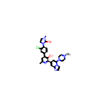 Cc1cc(-c2ccc(N3C=CN(C)C3O)c(Cl)c2)c(O)c(-c2cc(N3CCN(C(C)(C)C)CC3)n3ccnc3c2)n1